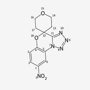 O=[N+]([O-])c1ccc2c(c1)-n1nnnc1C1(CCOCC1)O2